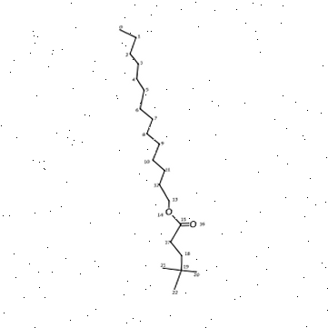 CCCCCCCCCCCCCCOC(=O)CCC(C)(C)C